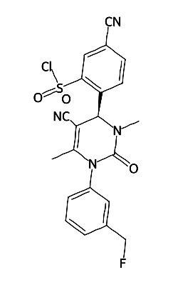 CC1=C(C#N)[C@@H](c2ccc(C#N)cc2S(=O)(=O)Cl)N(C)C(=O)N1c1cccc(CF)c1